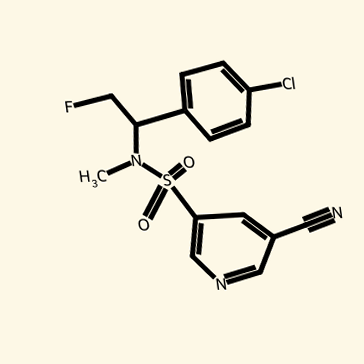 CN(C(CF)c1ccc(Cl)cc1)S(=O)(=O)c1cncc(C#N)c1